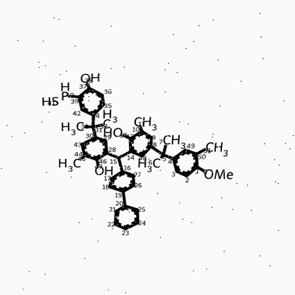 COc1ccc(C(C)(C)c2cc(C)c(O)c(C(c3ccc(-c4ccccc4)cc3)c3cc(C(C)(C)c4ccc(O)c(PS)c4)cc(C)c3O)c2)cc1C